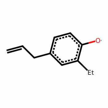 C=CCc1ccc([O])c(CC)c1